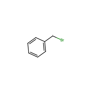 Br[CH]c1ccccc1